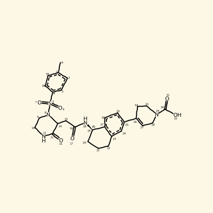 Cc1ccc(S(=O)(=O)N2CCNC(=O)C2CC(=O)N[C@@H]2CCCc3cc(C4=CCN(C(=O)O)CC4)ccc32)cc1